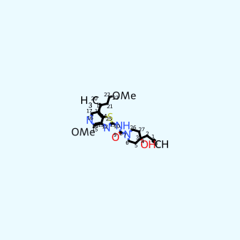 C#CCC1(O)CCN(C(=O)Nc2nc3c(OC)ncc(C(C)CCOC)c3s2)CC1